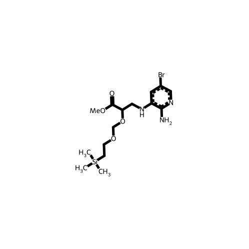 COC(=O)C(CNc1cc(Br)cnc1N)OCOCC[Si](C)(C)C